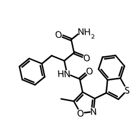 Cc1onc(-c2csc3ccccc23)c1C(=O)NC(Cc1ccccc1)C(=O)C(N)=O